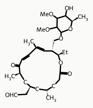 CC[C@H]1OC(=O)CC[C@H](C)C[C@@H](CC=O)C[C@@H](C)C(=O)/C=C/C(C)=C/[C@@H]1COC1O[C@H](C)C(O)C(OC)C1OC